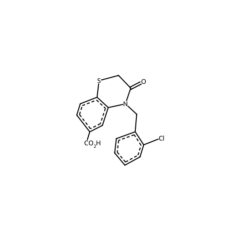 O=C(O)c1ccc2c(c1)N(Cc1ccccc1Cl)C(=O)CS2